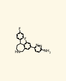 Nc1ccc(-c2cc(F)c3c(c2)CNCCC3c2ccc(F)cc2)nn1